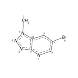 Cn1nnc2ncc(Br)cc21